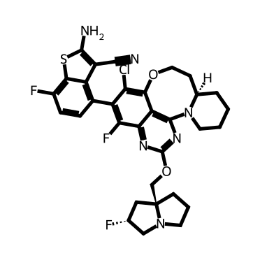 N#Cc1c(N)sc2c(F)ccc(-c3c(Cl)c4c5c(nc(OC[C@@]67CCCN6C[C@H](F)C7)nc5c3F)N3CCCC[C@@H]3CCO4)c12